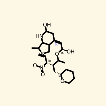 C=C[C@H](C(C[C@@H]1CCCCO1)C(C)O[C@H](O)/C=C1/CC(O)NC2C(C)SCC12)[N+](=O)[O-]